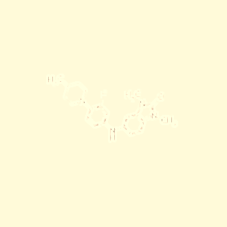 CC1CCN(c2ccc(Nc3ccc4c(c3)n(C)c(=O)n4C)cc2F)CC1